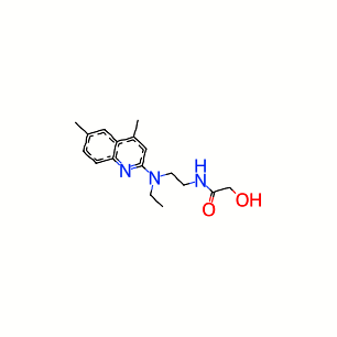 CCN(CCNC(=O)CO)c1cc(C)c2cc(C)ccc2n1